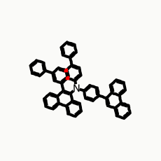 c1ccc(-c2ccc(N(c3ccc(-c4cc5ccccc5c5ccccc45)cc3)c3c(-c4cccc(-c5ccccc5)c4)c4ccccc4c4ccccc34)cc2)cc1